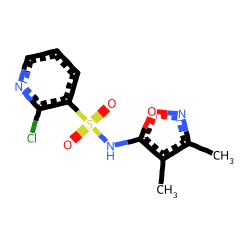 Cc1noc(NS(=O)(=O)c2cccnc2Cl)c1C